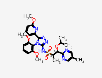 COc1cccc(-c2nnc(NS(=O)(=O)[C@H](C)[C@@H](OC(C)C)c3ncc(C)cn3)n2-c2c(OC)cccc2OC)n1